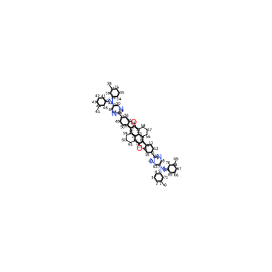 Cc1cccc(N(c2cnc(-c3ccc4c(c3)oc3c5c6c(c7c(oc8cc(-c9ncc(N(c%10cccc(C)c%10)c%10cccc(C)c%10)cn9)ccc87)c7c6c(c34)CCC7)CCC5)nc2)c2cccc(C)c2)c1